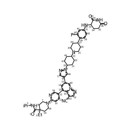 CCC1(C(=O)NC(C)C)CCN(c2ccc(-c3cc(-c4cnn(C5CCC(N6CCC(c7ccc(NC8CCC(=O)NC8=O)cc7F)CC6)CC5)c4)cn4ncc(C#N)c34)cn2)CC1